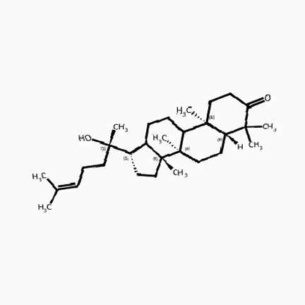 CC(C)=CCC[C@](C)(O)[C@H]1CC[C@]2(C)C1CCC1[C@@]3(C)CCC(=O)C(C)(C)[C@@H]3CC[C@]12C